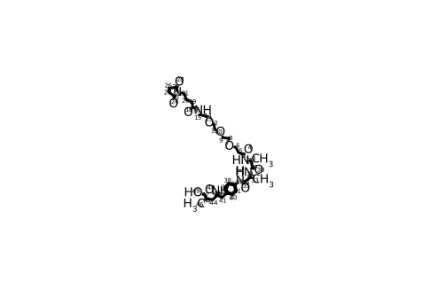 C[C@H](NC(=O)CCOCCOCCOCCNC(=O)CCCN1C(=O)C=CC1=O)C(=O)N[C@@H](C)C(=O)Nc1ccc(C[C@H](N)C[C@H](C)C(=O)O)cc1